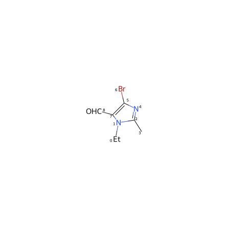 CCn1c(C)nc(Br)c1C=O